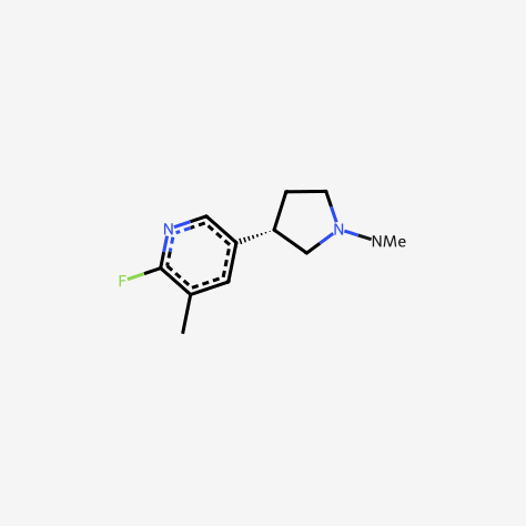 CNN1CC[C@@H](c2cnc(F)c(C)c2)C1